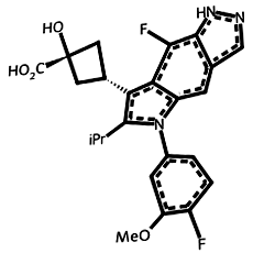 COc1cc(-n2c(C(C)C)c([C@H]3C[C@](O)(C(=O)O)C3)c3c(F)c4[nH]ncc4cc32)ccc1F